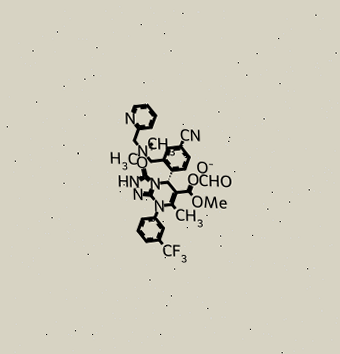 COC(=O)C1=C(C)N(c2cccc(C(F)(F)F)c2)c2n[nH]c(=O)n2[C@@H]1c1ccc(C#N)cc1C[N+](C)(C)Cc1ccccn1.O=C[O-]